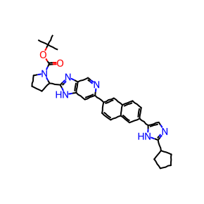 CC(C)(C)OC(=O)N1CCCC1c1nc2cnc(-c3ccc4cc(-c5cnc(C6CCCC6)[nH]5)ccc4c3)cc2[nH]1